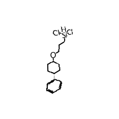 Cl[SiH](Cl)CCCO[C@H]1CC[C@H](c2ccccc2)CC1